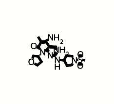 C=C(/N=C1\C(=C/N)C(N)=C(C)C(=O)N1[C@@H]1CCOC1)NC1CCN(S(C)(=O)=O)CC1